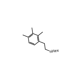 [CH2]CCCCCCCc1ccc(C)c(C)c1C